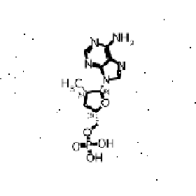 C[C@H]1C[C@@H](COP(=O)(O)O)O[C@H]1n1cnc2c(N)ncnc21